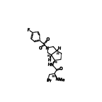 CN[C@@H](CC(C)C)C(=O)N[C@@H]1CC[C@H]2CN(S(=O)(=O)c3ccc(F)cc3)C[C@H]21